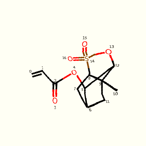 C=CC(=O)OC1C2CC3C(C)(C2)C1OS3(=O)=O